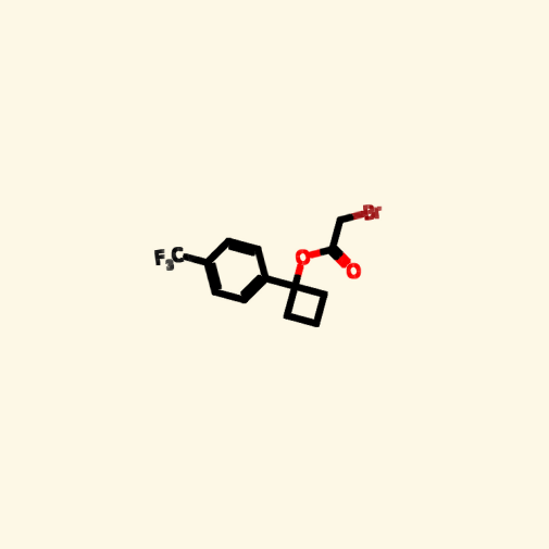 O=C(CBr)OC1(c2ccc(C(F)(F)F)cc2)CCC1